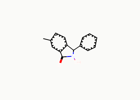 Cc1ccc2c(c1)C(=O)N(O)C2c1ccccc1